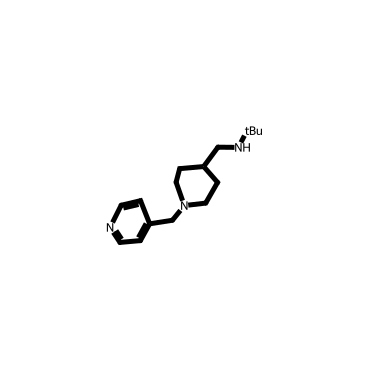 CC(C)(C)NCC1CCN(Cc2ccncc2)CC1